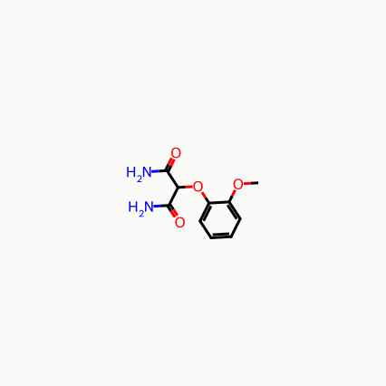 COc1ccccc1OC(C(N)=O)C(N)=O